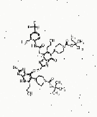 CC(C)(C)OC(=O)N1CCN(c2c(CCO)[nH]c3nc(Br)nn3c2=O)CC1.Cc1cc(C(F)(F)F)ccc1NC(=O)Cn1c(CCO)c(N2CCN(C(=O)OC(C)(C)C)CC2)c(=O)n2nc(Br)nc12